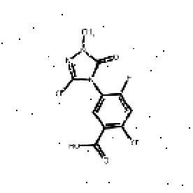 Cn1nc(Cl)n(-c2cc(C(=O)O)c(Cl)cc2F)c1=O